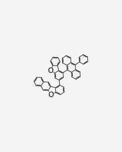 c1ccc(-c2c3ccccc3c(-c3cc(-c4cccc5oc6cc7ccccc7cc6c45)cc4oc5ccccc5c34)c3ccccc23)cc1